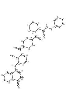 O=C(OCc1ccccc1)C1CCCCN1C(=O)N1CCN(C(=O)c2cccc(Oc3n[nH]c(=O)c4ccccc34)c2F)CC1